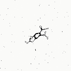 CC1COc2cc(C(=O)O)c([N+](=O)[O-])cc2O1